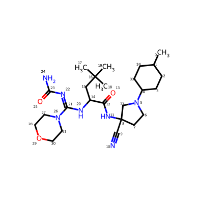 CC1CCC(N2CCC(C#N)(NC(=O)C(CC(C)(C)C)NC(=NC(N)=O)N3CCOCC3)C2)CC1